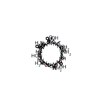 CCCC[C@H]1C(=O)N(C)[C@@H](CCCC)C(=O)N[C@@H](CN)C(=O)N[C@H](C(N)=O)CSCC(=O)N[C@@H](Cc2ccc(O)cc2)C(=O)N(C)[C@@H](C)C(=O)N[C@@H](CC(N)=O)C(=O)N2CCC[C@H]2C(=O)N[C@@H](CN)C(=O)N[C@@H](CC(C)C)C(=O)N2C[C@H](O)C[C@H]2C(=O)N[C@@H](Cc2c[nH]c3ccccc23)C(=O)N[C@@H](CCN)C(=O)N[C@@H](Cc2cn(CC(=O)O)c3ccccc23)C(=O)N1C